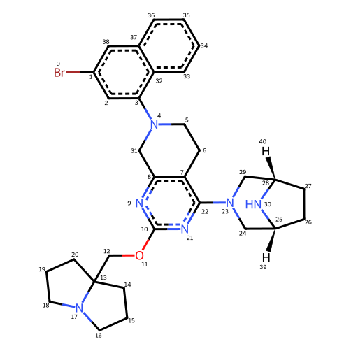 Brc1cc(N2CCc3c(nc(OCC45CCCN4CCC5)nc3N3C[C@H]4CC[C@@H](C3)N4)C2)c2ccccc2c1